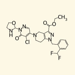 CCOC(=O)c1nn(Cc2ccccc2C(F)F)c2c1CN(c1cnn(C3NCCO3)c(=O)c1Cl)CC2